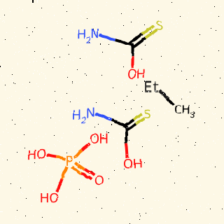 CCC.NC(O)=S.NC(O)=S.O=P(O)(O)O